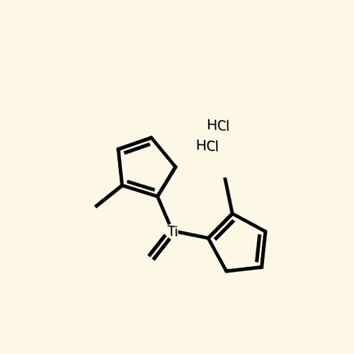 Cl.Cl.[CH2]=[Ti]([C]1=C(C)C=CC1)[C]1=C(C)C=CC1